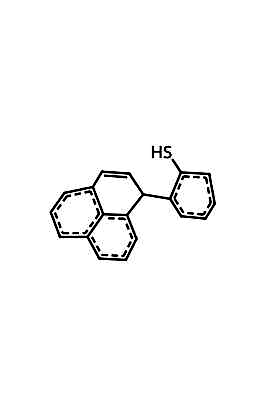 Sc1ccccc1C1C=Cc2cccc3cccc1c23